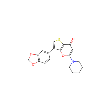 O=c1cc(N2CCCCC2)oc2c(-c3ccc4c(c3)OCO4)csc12